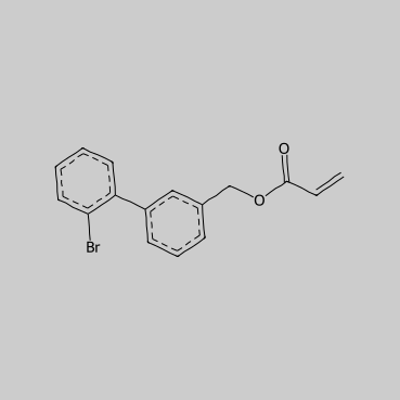 C=CC(=O)OCc1cccc(-c2ccccc2Br)c1